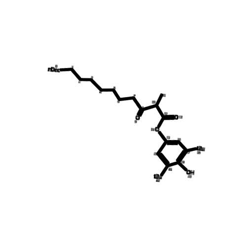 CCCCCCCCCCCCCCCCCC(=O)C(C)C(=O)Oc1cc(C(C)(C)C)c(O)c(C(C)(C)C)c1